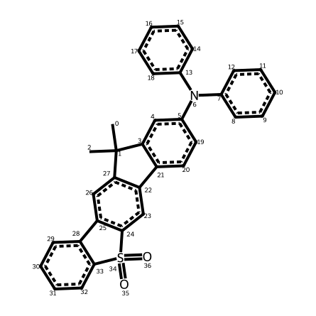 CC1(C)c2cc(N(c3ccccc3)c3ccccc3)ccc2-c2cc3c(cc21)-c1ccccc1S3(=O)=O